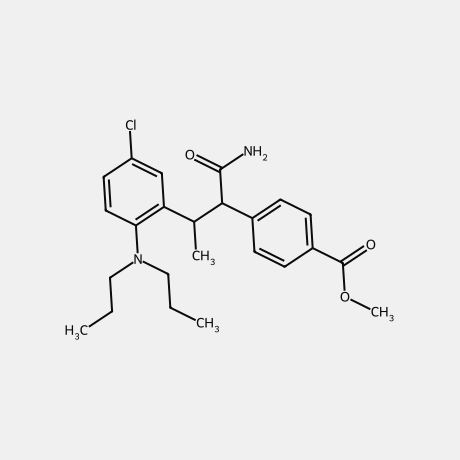 CCCN(CCC)c1ccc(Cl)cc1C(C)C(C(N)=O)c1ccc(C(=O)OC)cc1